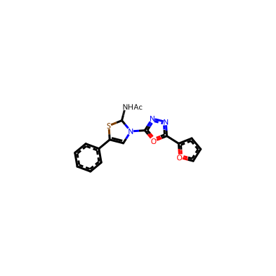 CC(=O)NC1SC(c2ccccc2)=CN1c1nnc(-c2ccco2)o1